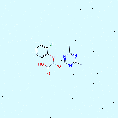 Cc1nc(C)nc(OC(Oc2ccccc2F)C(=O)O)n1